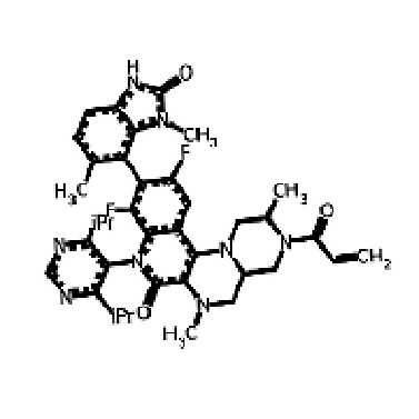 C=CC(=O)N1CC2CN(C)c3c(c4cc(F)c(-c5c(C)ccc6[nH]c(=O)n(C)c56)c(F)c4n(-c4c(C(C)C)ncnc4C(C)C)c3=O)N2CC1C